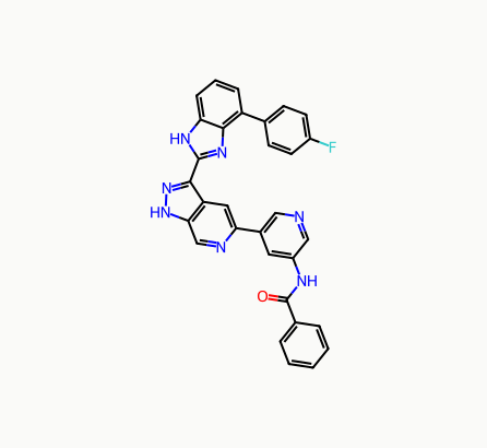 O=C(Nc1cncc(-c2cc3c(-c4nc5c(-c6ccc(F)cc6)cccc5[nH]4)n[nH]c3cn2)c1)c1ccccc1